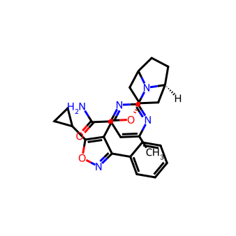 Cc1cc(C(N)=O)nc(N2C3CC[C@H]2C[C@H](OCc2c(-c4ccccc4)noc2C2CC2)C3)n1